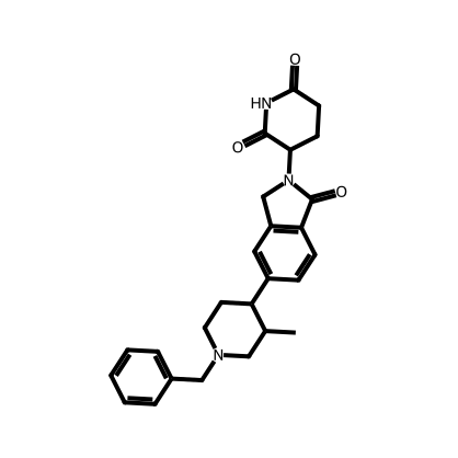 CC1CN(Cc2ccccc2)CCC1c1ccc2c(c1)CN(C1CCC(=O)NC1=O)C2=O